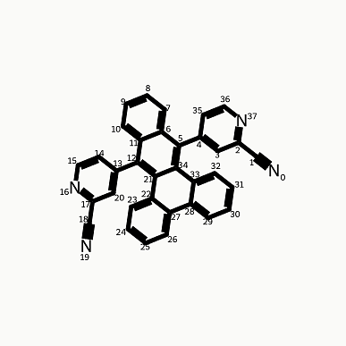 N#Cc1cc(-c2c3ccccc3c(-c3ccnc(C#N)c3)c3c4ccccc4c4ccccc4c23)ccn1